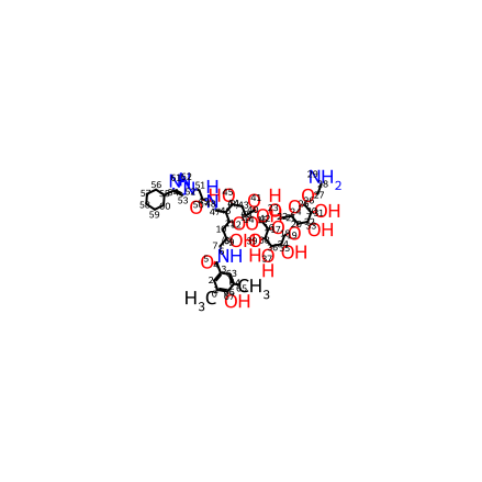 Cc1cc(C(=O)NC[C@@H](O)CC2O[C@@](OCC3OC(OC4C(CO)OC(OCCN)C(O)C4O)C(O)C(O)C3O)(C(=O)O)C[C@@H](O)C2CNC(=O)Cn2cc(C3CCCCC3)nn2)cc(C)c1O